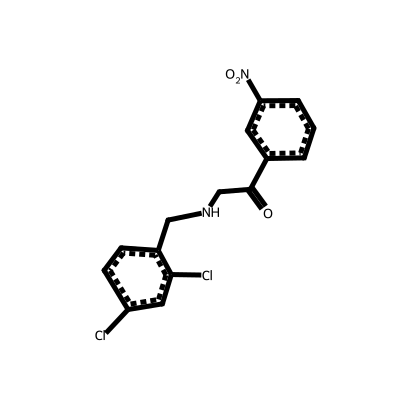 O=C(CNCc1ccc(Cl)cc1Cl)c1cccc([N+](=O)[O-])c1